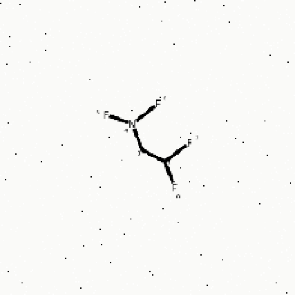 FC(F)CN(F)F